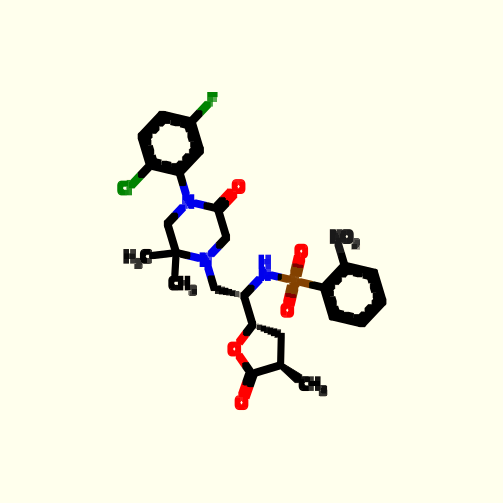 C[C@@H]1C[C@@H]([C@H](CN2CC(=O)N(c3cc(F)ccc3Cl)CC2(C)C)NS(=O)(=O)c2ccccc2[N+](=O)[O-])OC1=O